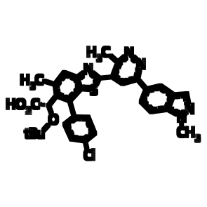 Cc1cc2nc(-c3cc(-c4ccc5c(cnn5C)c4)nnc3C)sc2c(-c2ccc(Cl)cc2)c1[C@H](OC(C)(C)C)C(=O)O